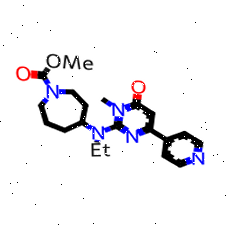 CCN(c1nc(-c2ccncc2)cc(=O)n1C)C1CCCN(C(=O)OC)CC1